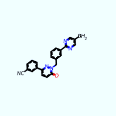 Bc1cnc(-c2cccc(Cn3nc(-c4cccc(C#N)c4)ccc3=O)c2)nc1